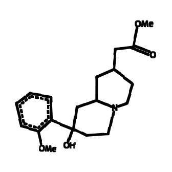 COC(=O)CC1CCN2CCC(O)(c3ccccc3OC)CC2C1